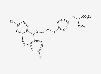 CCOC(=O)C(Cc1ccc(OCCOC2c3ccc(CC)cc3C=Cc3cc(CC)ccc32)cc1)OC